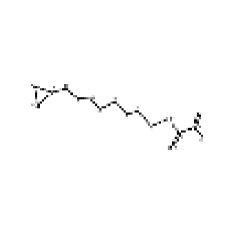 C=C(C)C(=O)OCCCCCCCCC1CS1